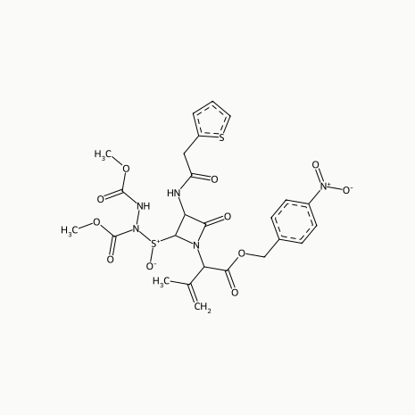 C=C(C)C(C(=O)OCc1ccc([N+](=O)[O-])cc1)N1C(=O)C(NC(=O)Cc2cccs2)C1[S+]([O-])N(NC(=O)OC)C(=O)OC